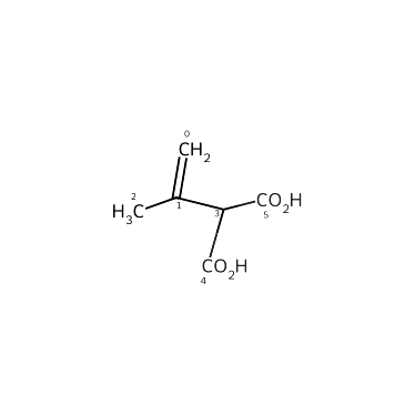 C=C(C)C(C(=O)O)C(=O)O